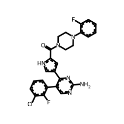 Nc1ncc(-c2cccc(Cl)c2F)c(-c2c[nH]c(C(=O)N3CCN(c4ccccc4F)CC3)c2)n1